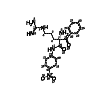 N=C(N)NCCC[C@](N)(C(=O)Nc1ccc([N+](=O)[O-])cc1)C(=O)c1ccccc1